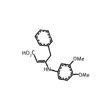 COc1ccc(NC(=CC(=O)O)Cc2ccccc2)cc1OC